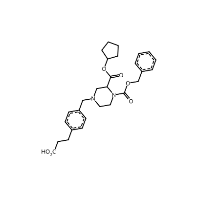 O=C(O)CCc1ccc(CN2CCN(C(=O)OCc3ccccc3)C(C(=O)OC3CCCC3)C2)cc1